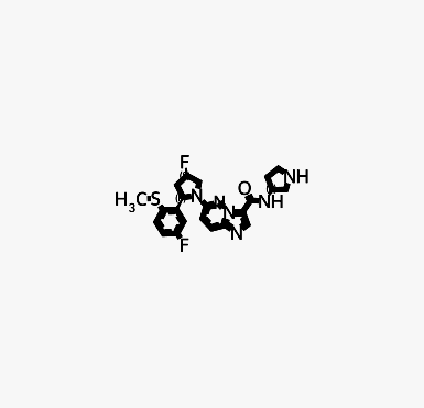 CSc1ccc(F)cc1[C@H]1C[C@H](F)CN1c1ccc2ncc(C(=O)N[C@H]3CCNC3)n2n1